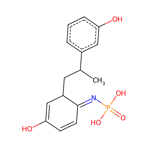 CC(CC1C=C(O)C=CC1=NP(=O)(O)O)c1cccc(O)c1